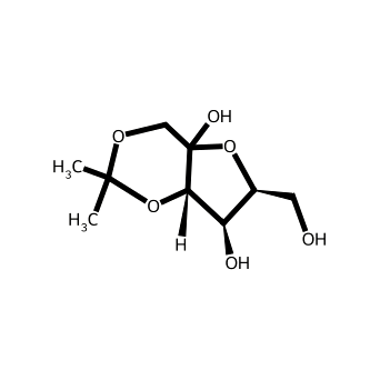 CC1(C)OCC2(O)O[C@@H](CO)[C@@H](O)[C@@H]2O1